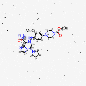 COc1cc(N2CCN(C(=O)OC(C)(C)C)CC2)ccc1NN1C=C(N2CCCC2)[N+]2C=CN=C2C1C(N)=O